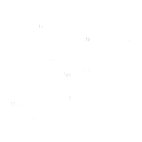 COC(=O)c1ccc(NC(=O)c2c(C)c(-c3cccc(F)c3)nc3ccc(Br)cc23)c(F)c1